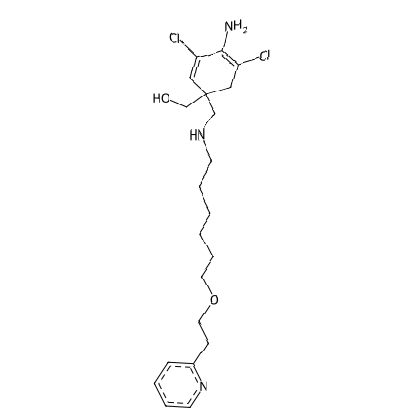 NC1=C(Cl)CC(CO)(CNCCCCCCOCCc2ccccn2)C=C1Cl